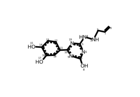 C=CCNNc1nc(O)nc(-c2ccc(O)c(O)c2)n1